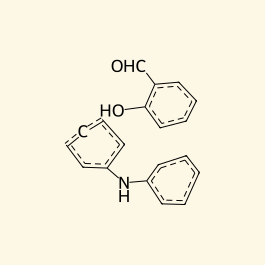 O=Cc1ccccc1O.c1ccc(Nc2ccccc2)cc1